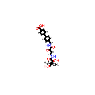 CC(C)(CO)C(O)C(=O)NCCC(=O)C(=O)NCc1ccc(-c2ccc(C(=O)O)cc2)cc1